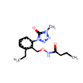 CCCC(=O)NOCc1c(CC)cccc1-n1nnn(C)c1=O